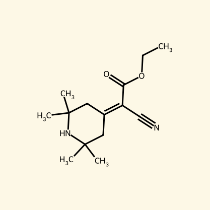 CCOC(=O)C(C#N)=C1CC(C)(C)NC(C)(C)C1